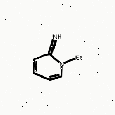 CCn1ccccc1=N